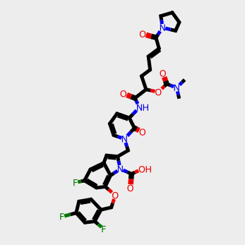 CN(C)C(=O)OC(CC/C=C/C(=O)N1CCCC1)C(=O)Nc1cccn(Cc2cc3cc(F)cc(OCc4ccc(F)cc4F)c3n2C(=O)O)c1=O